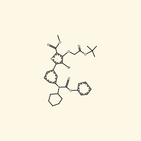 COC(=O)c1sc(-c2cccc(N(C(=O)Oc3ccccc3)C3CCCCC3)c2)c(Br)c1OCC(=O)OC(C)(C)C